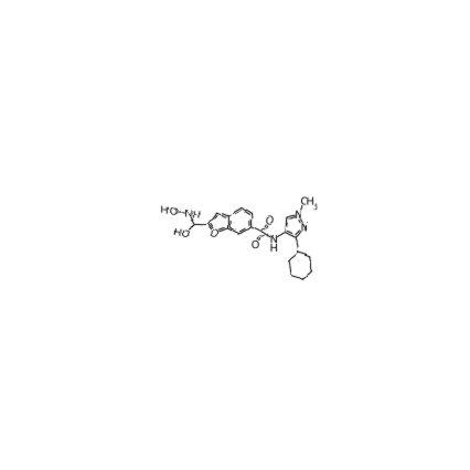 Cn1cc(NS(=O)(=O)c2ccc3cc(C(O)NO)oc3c2)c(C2CCCCC2)n1